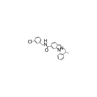 CC(Cn1cc2ccc(C(=O)NCc3cccc(Cl)c3)cc2n1)c1ccccc1